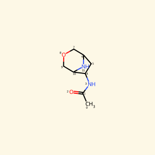 CC(=O)NC1CC2COCC1N2